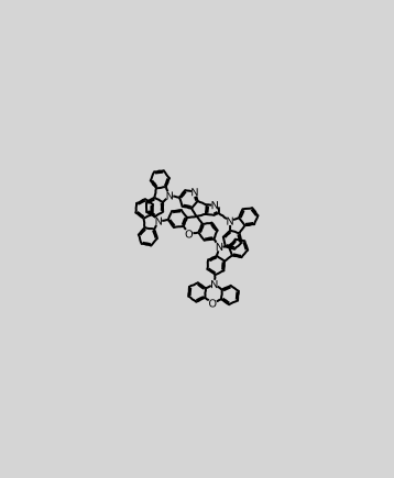 c1ccc2c(c1)Oc1ccccc1N2c1ccc2c(c1)c1ccccc1n2-c1ccc2c(c1)Oc1cc(-n3c4ccccc4c4ccccc43)ccc1C21c2cc(-n3c4ccccc4c4ccccc43)cnc2-c2ncc(-n3c4ccccc4c4ccccc43)cc21